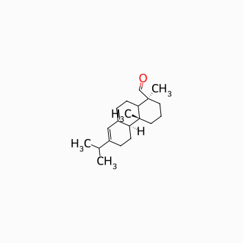 CC(C)C1=CC2=CCC3[C@@](C)(C=O)CCC[C@]3(C)[C@H]2CC1